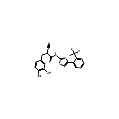 N#CC(Cc1ccc(O)c(O)c1)C(=O)Nc1nc(-c2ccccc2C(F)(F)F)cs1